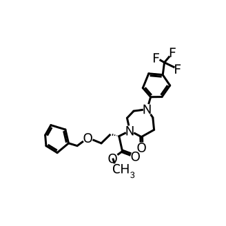 COC(=O)[C@H](CCOCc1ccccc1)N1CCN(c2ccc(C(F)(F)F)cc2)CCC1=O